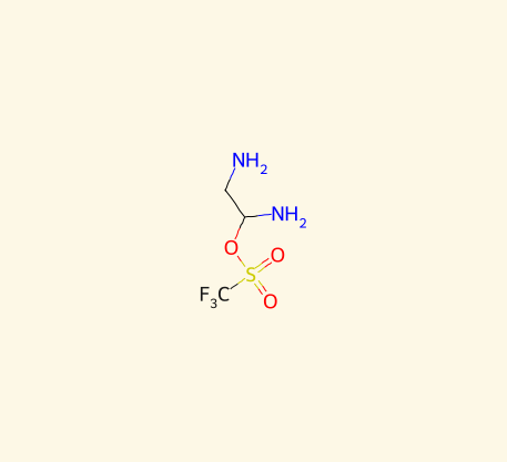 NCC(N)OS(=O)(=O)C(F)(F)F